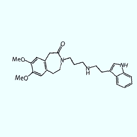 COc1cc2c(cc1OC)CC(=O)N(CCCNCCc1c[nH]c3ccccc13)CC2